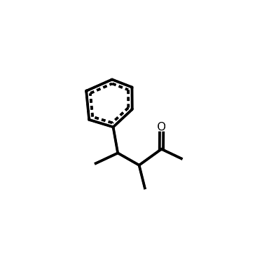 CC(=O)C(C)C(C)c1ccccc1